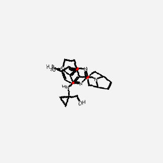 Bc1ccc(N2CC3CCC(C2)N3c2nc3c(c(NC4(CO)CC4)n2)[S+]([O-])CC3)cc1